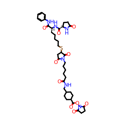 O=C(CCCCCN1C(=O)CC(SCCCCC[C@H](NC(=O)[C@H]2CCC(=O)N2)C(=O)Nc2ccccc2)C1=O)NCC1CCC(C(=O)ON2C(=O)CCC2=O)CC1